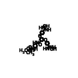 CC(C)(C)OC(=O)NC1CCC(NC(=O)c2cc(Oc3ccc(C(=N)NO)cc3)cc(Oc3ccc(C(=N)NO)cc3)c2)CC1